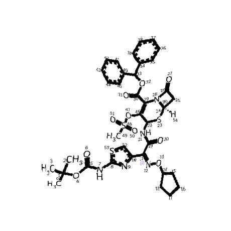 CC(C)(C)OC(=O)Nc1nc(/C(=N/OC2CCCC2)C(=O)NC2S[C@@H]3CC(=O)N3C(C(=O)OC(c3ccccc3)c3ccccc3)=C2OS(C)(=O)=O)cs1